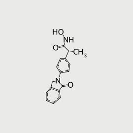 CC(C(=O)NO)c1ccc(N2Cc3ccccc3C2=O)cc1